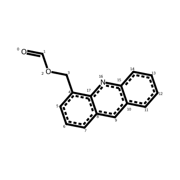 O=COCc1cccc2cc3ccccc3nc12